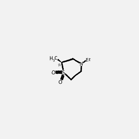 CCN1CCS(=O)(=O)[C@@H](C)C1